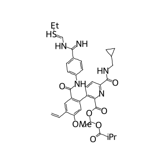 C=Cc1cc(C(=O)Nc2ccc(C(=N)NC=[SH]CC)cc2)c(-c2ccc(C(=O)NCC3CC3)nc2C(=O)OC(C)OC(=O)C(C)C)cc1OC